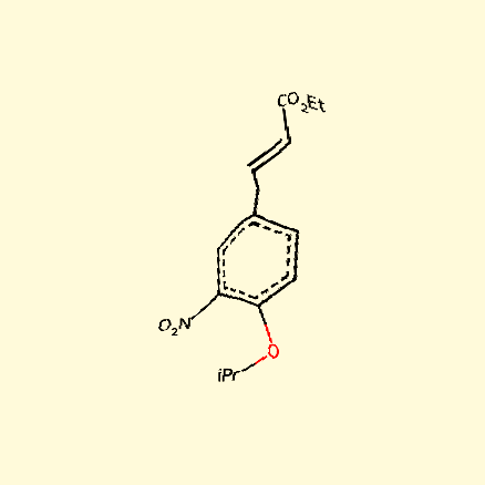 CCOC(=O)/C=C/c1ccc(OC(C)C)c([N+](=O)[O-])c1